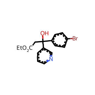 CCOC(=O)CC(O)(c1ccc(Br)cc1)c1cccnc1